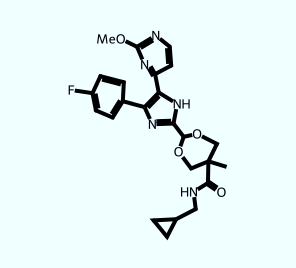 COc1nccc(-c2[nH]c(C3OCC(C)(C(=O)NCC4CC4)CO3)nc2-c2ccc(F)cc2)n1